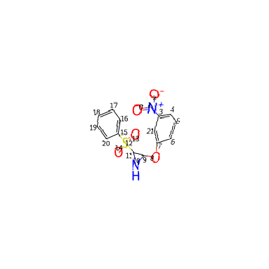 O=[N+]([O-])c1cccc(OC2NC2S(=O)(=O)c2ccccc2)c1